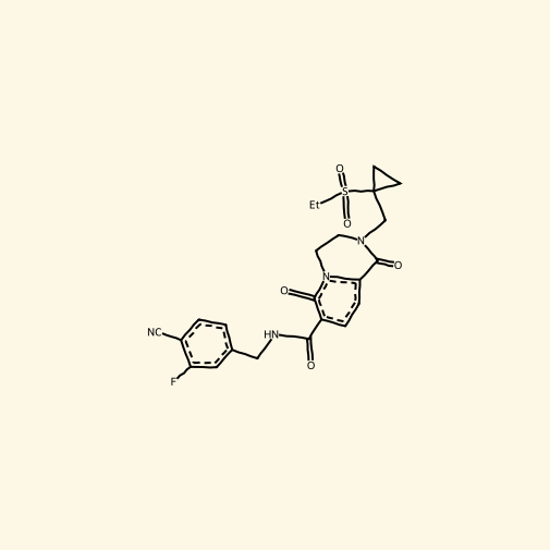 CCS(=O)(=O)C1(CN2CCn3c(ccc(C(=O)NCc4ccc(C#N)c(F)c4)c3=O)C2=O)CC1